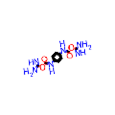 N=C(N)OC(=O)Nc1ccc(NC(=O)OC(=N)N)cc1